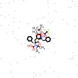 CC(C)(C)OC(=O)N[C@@H](Cc1ccccc1)C[C@@H]1OC(C)(C)N(C(=O)O)[C@@]1(Cc1ccccc1)Cc1ccc(OC(=O)C(F)(F)F)cc1